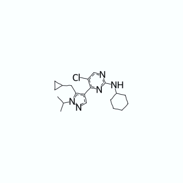 CC(C)n1ncc(-c2nc(NC3CCCCC3)ncc2Cl)c1CC1CC1